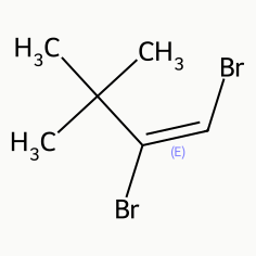 CC(C)(C)/C(Br)=C\Br